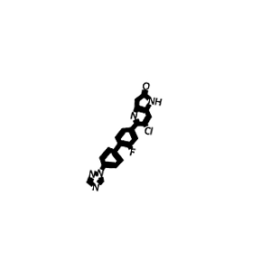 O=C1Cc2nc(-c3ccc(-c4ccc(-n5cncn5)cc4)c(F)c3)c(Cl)cc2N1